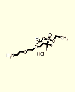 CCOP(=O)(OCC)C(F)(F)CCOCCOCCN.Cl